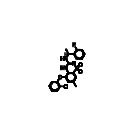 Cc1cc(Oc2ccccc2Cl)c2c(c1)S(=O)(=O)N=C(N[C@@H](C)c1ccccc1F)N2